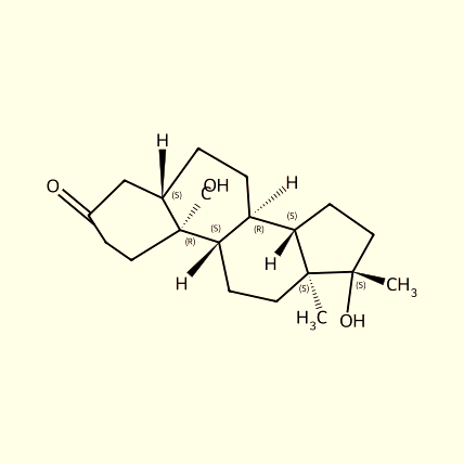 C[C@]1(O)CC[C@H]2[C@@H]3CC[C@H]4CC(=O)CC[C@]4(CO)[C@H]3CC[C@@]21C